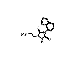 CSCCC1NC(=O)N(c2cccc3ccccc23)C1=O